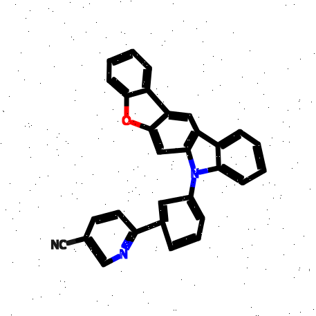 N#Cc1ccc(-c2cccc(-n3c4ccccc4c4cc5c(cc43)oc3ccccc35)c2)nc1